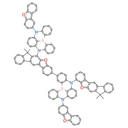 CC1(C)c2ccccc2-c2cc3c(cc21)oc1c(N2c4ccc(-c5ccc6c(c5)oc5c(N7c8ccccc8B8c9ccccc9N(c9ccc%10oc%11ccccc%11c%10c9)c9cccc7c98)c7c(cc56)-c5ccccc5C7(C)C)cc4B4c5ccccc5N(c5ccc6oc7ccccc7c6c5)c5cccc2c54)cccc13